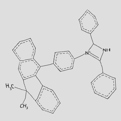 CC1(C)c2ccccc2-c2c1cc1ccccc1c2-c1ccc([N+]2=C(c3ccccc3)NC2c2ccccc2)cc1